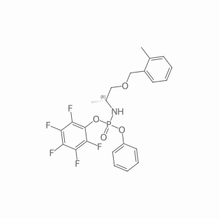 Cc1ccccc1COC[C@@H](C)NP(=O)(Oc1ccccc1)Oc1c(F)c(F)c(F)c(F)c1F